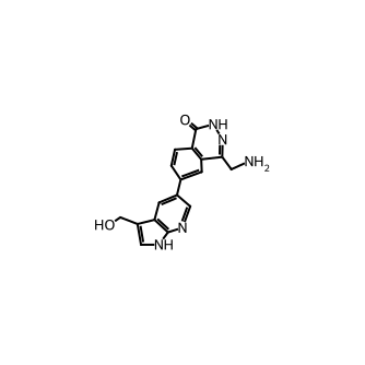 NCc1n[nH]c(=O)c2ccc(-c3cnc4[nH]cc(CO)c4c3)cc12